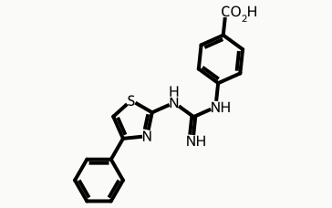 N=C(Nc1ccc(C(=O)O)cc1)Nc1nc(-c2ccccc2)cs1